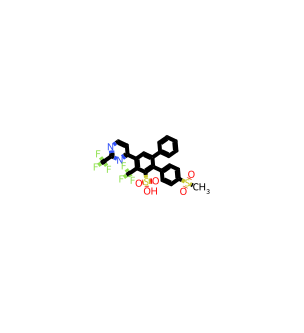 CS(=O)(=O)c1ccc(-c2c(-c3ccccc3)cc(-c3ccnc(C(F)(F)F)n3)c(C(F)(F)F)c2S(=O)(=O)O)cc1